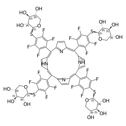 O[C@@H]1[C@@H](O)[C@H](Sc2c(F)c(F)c(-c3c4nc(c(-c5c(F)c(F)c(S[C@@H]6OC[C@@H](O)[C@H](O)[C@H]6O)c(F)c5F)c5ccc([nH]5)c(-c5c(F)c(F)c(S[C@@H]6OC[C@@H](O)[C@H](O)[C@H]6O)c(F)c5F)c5nc(c(-c6c(F)c(F)c(S[C@@H]7OC[C@@H](O)[C@H](O)[C@H]7O)c(F)c6F)c6ccc3[nH]6)C=C5)C=C4)c(F)c2F)OC[C@H]1O